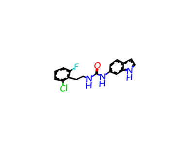 O=C(NCCc1c(F)cccc1Cl)Nc1ccc2cc[nH]c2c1